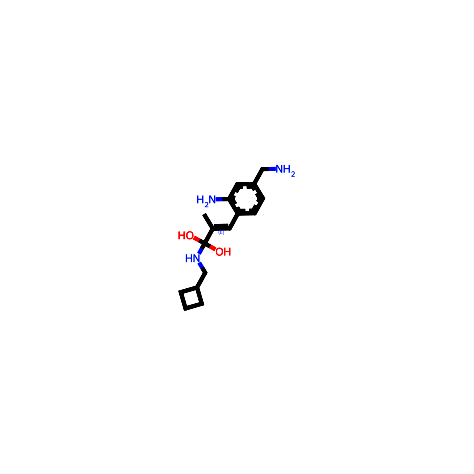 C/C(=C\c1ccc(CN)cc1N)C(O)(O)NCC1CCC1